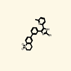 Cc1cccc(-c2[nH]c(C(C)C)nc2-c2cccc(-c3ccc4c(c3)CCCS4(=O)=O)c2)n1